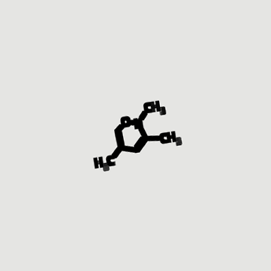 CC1=CON(C)C(C)=C1